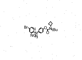 CC(C)(C)N(C(=O)Oc1ccc(Nc2ncc(Br)cc2[N+](=O)[O-])cc1)C1CCC1